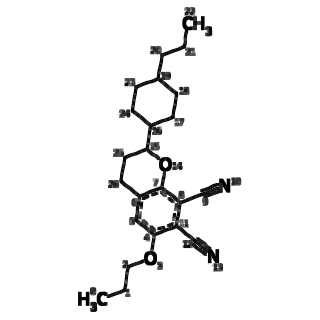 CCCOc1cc2c(c(C#N)c1C#N)OC(C1CCC(CCC)CC1)CC2